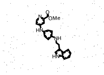 COC(=O)c1cc(Nc2ccc(NCCc3c[nH]c4ccccc34)cc2)ccn1